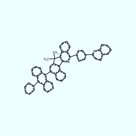 CC1(C)c2cc(-c3c4ccccc4c(-c4ccccc4)c4ccccc34)c3ccccc3c2-c2nc(-c3ccc(-c4ccc5ccccc5n4)cc3)c3ccccc3c21